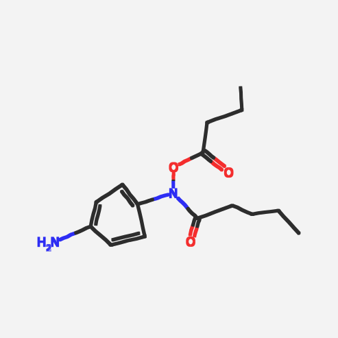 CCCCC(=O)N(OC(=O)CCC)c1ccc(N)cc1